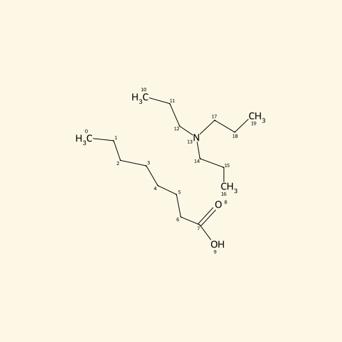 CCCCCCCC(=O)O.CCCN(CCC)CCC